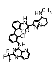 CN[C@@H]1CCCn2nc(C(=O)Nc3cccc(-c4cccc(Nc5nc(C(F)(F)F)nc6cccnc56)c4Cl)c3Cl)cc21